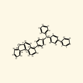 c1ccc(-c2ccc(N(c3ccccc3)c3ccc(-c4cccc5c4ccc4oc6ccccc6c45)cc3)cc2)cc1